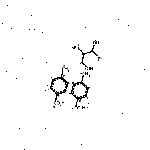 CCCCC(CO)C(O)CC.Cc1ccc(C(=O)O)cc1.Cc1ccc(C(=O)O)cc1